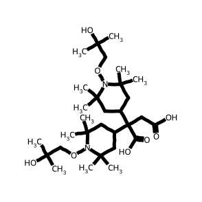 CC(C)(O)CON1C(C)(C)CC(C(CC(=O)O)(C(=O)O)C2CC(C)(C)N(OCC(C)(C)O)C(C)(C)C2)CC1(C)C